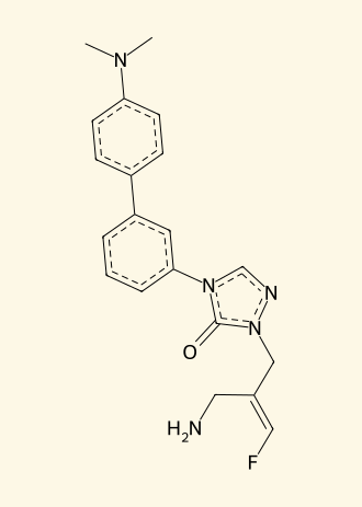 CN(C)c1ccc(-c2cccc(-n3cnn(C/C(=C/F)CN)c3=O)c2)cc1